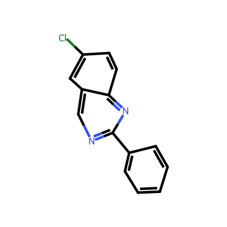 Clc1ccc2nc(-c3ccccc3)ncc2c1